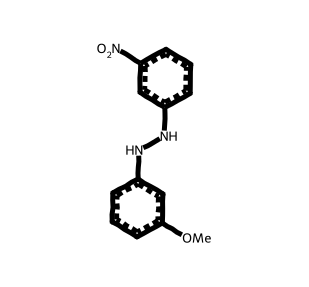 COc1cccc(NNc2cccc([N+](=O)[O-])c2)c1